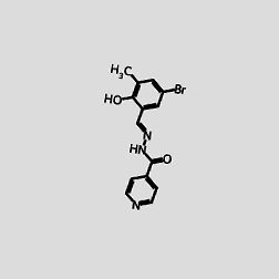 Cc1cc(Br)cc(/C=N/NC(=O)c2ccncc2)c1O